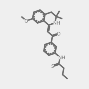 CCCC(=S)Nc1cccc(C(=O)/C=C2\NC(C)(C)Cc3ccc(OC)cc32)c1